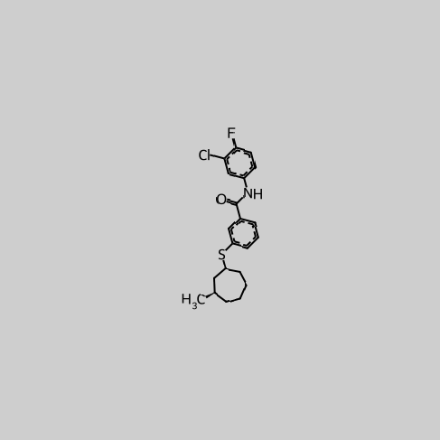 C[C@@H]1CCCCC(Sc2cccc(C(=O)Nc3ccc(F)c(Cl)c3)c2)C1